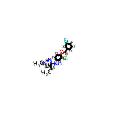 C=C/C=C(/N=C\N(C)C)Nc1ccc(OCc2cccc(F)c2)c(Cl)c1